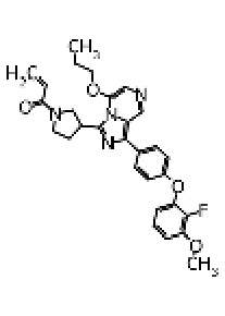 C=CC(=O)N1CCC(c2nc(-c3ccc(Oc4cccc(OC)c4F)cc3)c3cncc(OCCC)n23)C1